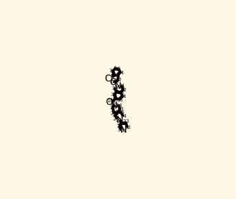 O=C(Cc1ccccc1Cl)N1CCc2ccc(C(=O)N3CCC4(CC3)CCN(c3ccncc3)CC4)cc2C1